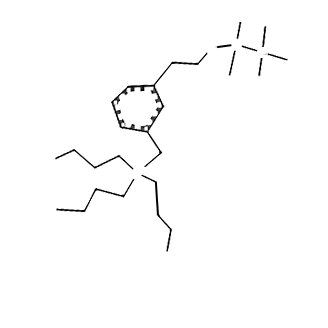 CCCC[P+](CCCC)(CCCC)Cc1cccc(CCO[Si](C)(C)[Si](C)(C)C)c1.[Cl-]